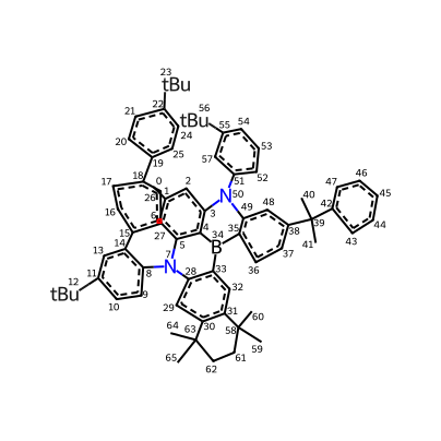 Cc1cc2c3c(c1)N(c1ccc(C(C)(C)C)cc1-c1ccc(-c4ccc(C(C)(C)C)cc4)cc1)c1cc4c(cc1B3c1ccc(C(C)(C)c3ccccc3)cc1N2c1cccc(C(C)(C)C)c1)C(C)(C)CCC4(C)C